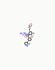 CC1(C=Cc2cc(F)c3c(c2)[C@]2(COC(N)=N2)c2cc(-c4cccnc4F)ccc2O3)COC1